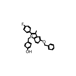 Cc1c(-c2ccc(F)cc2)n(Cc2ccc(O)cc2)c2ccc(OCc3ccccc3)cc12